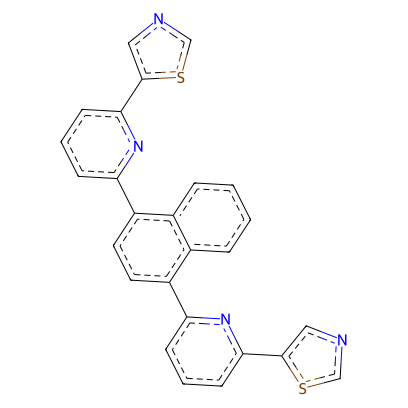 c1cc(-c2cncs2)nc(-c2ccc(-c3cccc(-c4cncs4)n3)c3ccccc23)c1